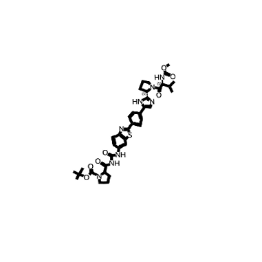 COC(=O)N[C@H](C(=O)N1CCC[C@H]1c1ncc(-c2ccc(-c3nc4ccc(NC(=O)NC(=O)C5CCCN5C(=O)OC(C)(C)C)cc4s3)cc2)[nH]1)C(C)C